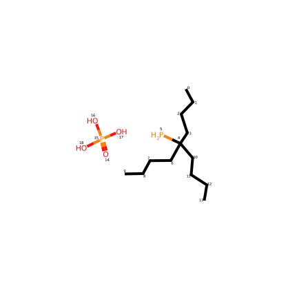 CCCCC(P)(CCCC)CCCC.O=P(O)(O)O